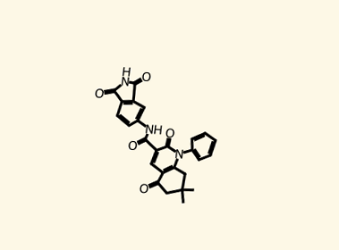 CC1(C)CC(=O)c2cc(C(=O)Nc3ccc4c(c3)C(=O)NC4=O)c(=O)n(-c3ccccc3)c2C1